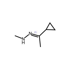 CN/N=C(\C)C1CC1